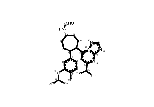 O=CN[C@H]1CCC(c2ccc(F)c(OC(F)F)c2)C(c2cc(C(F)F)nc3ncnn23)CC1